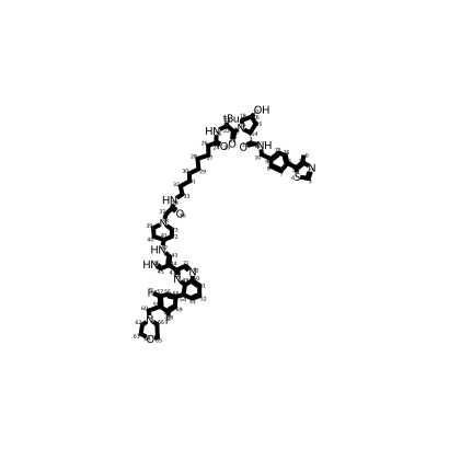 Cc1ncsc1-c1ccc(CNC(=O)[C@H]2CC(O)CN2C(=O)C(NC(=O)CCCCCCCCNC(=O)CN2CCC(N/C=C(\C=N)C3=NC4C(=CC=CC4c4cc(F)c(CN5CCOCC5)c(F)c4)N=C3)CC2)C(C)(C)C)cc1